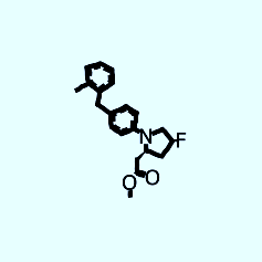 COC(=O)C[C@@H]1C[C@@H](F)CN1c1ccc(Cc2ccccc2C)cc1